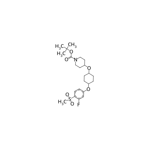 CC(C)(C)OC(=O)N1CCC(OC2CCC(Oc3ccc(S(C)(=O)=O)c(F)c3)CC2)CC1